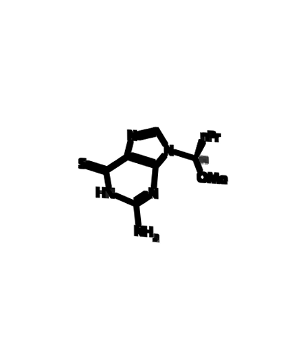 CCC[C@@H](OC)n1cnc2c(=S)[nH]c(N)nc21